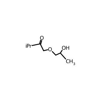 CC(O)COCC(=O)C(C)C